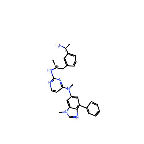 C[C@H](N)c1cccc(C[C@H](C)Nc2nccc(N(C)c3cc(-c4ccccc4)c4ncn(C)c4c3)n2)c1